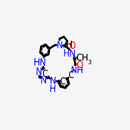 C[C@@H]1NC(=O)[C@@H]2CCCN2Cc2cccc(c2)Nc2cc(ncn2)Nc2cccc(c2)CNC1=O